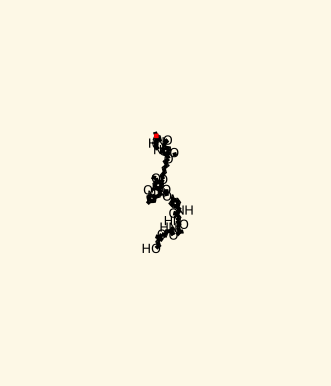 COc1cc2c(cc1OCCCCCOc1cc3c(cc1OC)C(=O)N1C=C(C)CC1CN3C(=O)OCc1ccc(NC(=O)CNC(=O)C(NC(=O)CCOC(C)(C)CCO)C(C)C)cc1)N=C[C@@H]1CC(C)=CN1C2=O